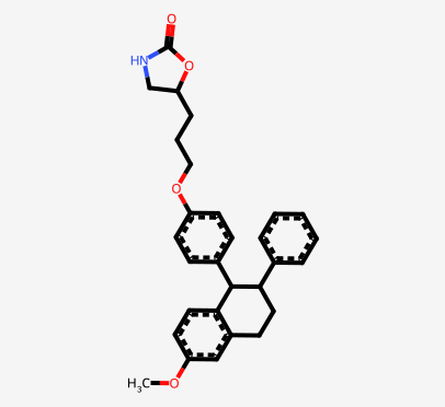 COc1ccc2c(c1)CCC(c1ccccc1)C2c1ccc(OCCCC2CNC(=O)O2)cc1